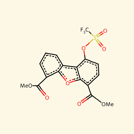 COC(=O)c1cccc2c1oc1c(C(=O)OC)ccc(OS(=O)(=O)C(F)(F)F)c12